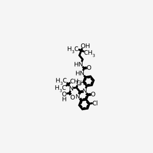 CC(c1nc2cccc(Cl)c2c(=O)n1-c1cccc(NC(=O)NCCC(C)(C)O)c1)N(C(=O)O)C(C)(C)C